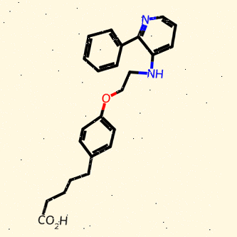 O=C(O)CCCCc1ccc(OCCNc2cccnc2-c2ccccc2)cc1